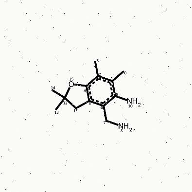 Cc1c(C)c2c(c(CN)c1N)CC(C)(C)O2